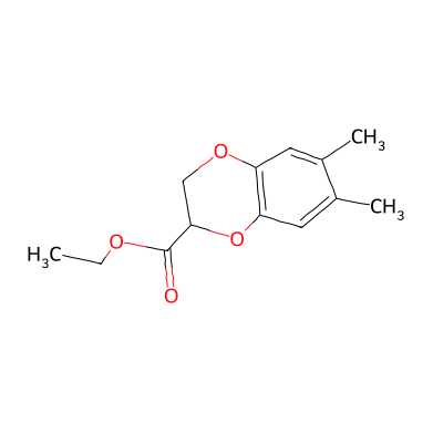 CCOC(=O)C1COc2cc(C)c(C)cc2O1